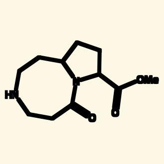 COC(=O)C1CCC2CCNCCC(=O)N21